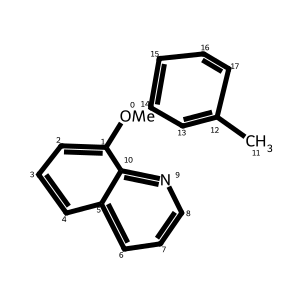 COc1cccc2cccnc12.Cc1ccccc1